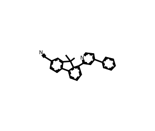 CC1(C)c2cc(C#N)ccc2-c2cccc(-c3cc(-c4ccccc4)ccn3)c21